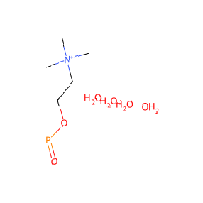 C[N+](C)(C)CCOP=O.O.O.O.O